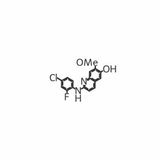 COc1cc2nc(Nc3ccc(Cl)cc3F)ccc2cc1O